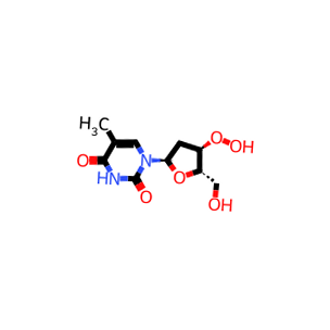 Cc1cn([C@H]2C[C@@H](OO)[C@H](CO)O2)c(=O)[nH]c1=O